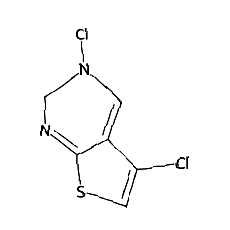 Clc1csc2c1=CN(Cl)CN=2